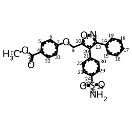 COC(=O)c1ccc(OCc2onc(-c3ccccc3)c2-c2ccc(S(N)(=O)=O)cc2)cc1